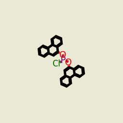 ClP(Oc1cc2ccccc2c2ccccc12)Oc1cc2ccccc2c2ccccc12